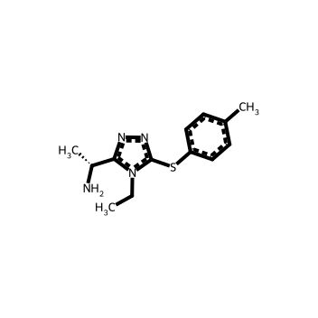 CCn1c(Sc2ccc(C)cc2)nnc1[C@@H](C)N